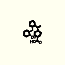 C=C(c1ccc(C(=O)O)cc1)c1ccccc1Cc1ccccc1O